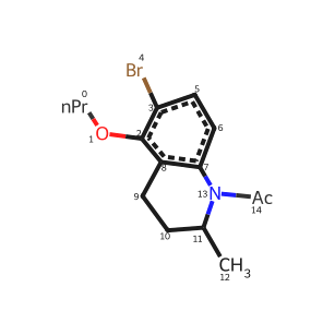 CCCOc1c(Br)ccc2c1CCC(C)N2C(C)=O